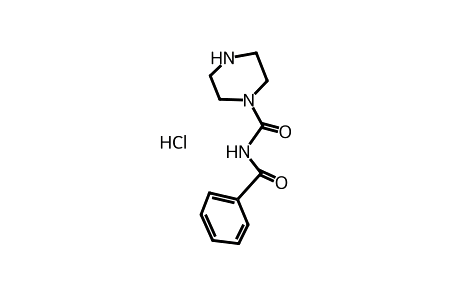 Cl.O=C(NC(=O)N1CCNCC1)c1ccccc1